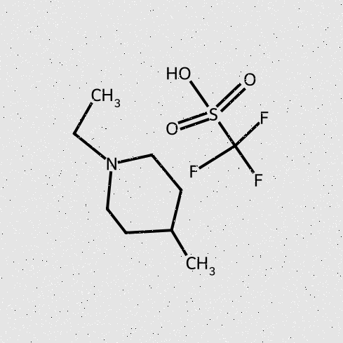 CCN1CCC(C)CC1.O=S(=O)(O)C(F)(F)F